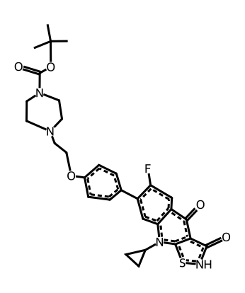 CC(C)(C)OC(=O)N1CCN(CCOc2ccc(-c3cc4c(cc3F)c(=O)c3c(=O)[nH]sc3n4C3CC3)cc2)CC1